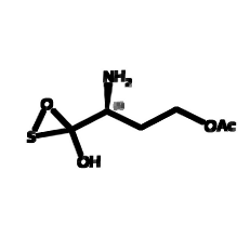 CC(=O)OCC[C@H](N)C1(O)OS1